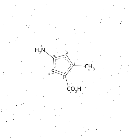 Cc1cc(N)sc1C(=O)O